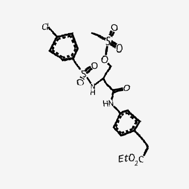 CCOC(=O)Cc1ccc(NC(=O)C(COS(C)(=O)=O)NS(=O)(=O)c2ccc(Cl)cc2)cc1